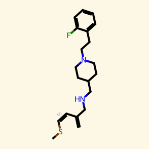 C=C(/C=C\SC)CNCC1CCN(CCc2ccccc2F)CC1